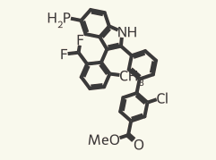 COC(=O)c1ccc(-c2cccc(-c3[nH]c4ccc(P)cc4c3-c3c(C)cccc3C(F)F)c2)c(Cl)c1